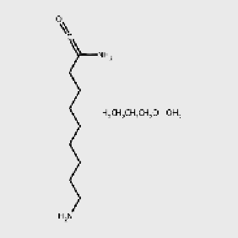 NCCCCCCCCC(N)=C=O.O.O.O.O.O